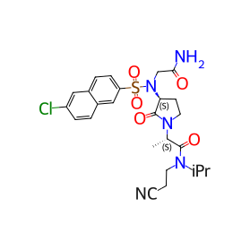 CC(C)N(CCC#N)C(=O)[C@H](C)N1CC[C@H](N(CC(N)=O)S(=O)(=O)c2ccc3cc(Cl)ccc3c2)C1=O